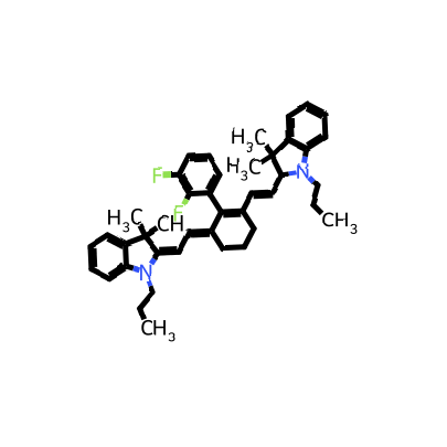 CCCN1/C(=C/C=C2\CCCC(/C=C/C3N(CCC)c4ccccc4C3(C)C)=C2c2cccc(F)c2F)C(C)(C)c2ccccc21